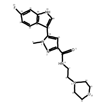 Cn1nc(C(=O)NCCN2CCOCC2)cc1-c1c[nH]c2cc(F)ccc12